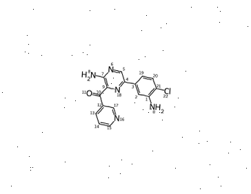 Nc1cc(-c2cnc(N)c(C(=O)c3cccnc3)n2)ccc1Cl